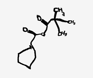 CC(C)(C)C(=O)OC(=O)N1CCCC1